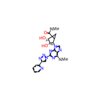 CNC(=O)C12CC1[C@@H](n1cnc3c(NC)nc(-n4cc(-c5ccccn5)nn4)nc31)[C@H](O)[C@@H]2O